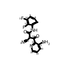 N#CC(C(=O)Nc1cccc(F)c1F)C(=O)c1ncccc1N